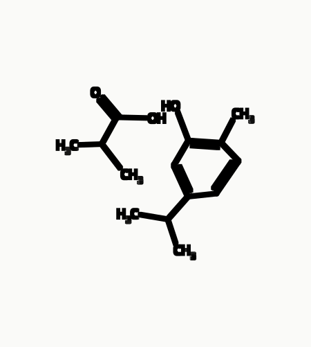 CC(C)C(=O)O.Cc1ccc(C(C)C)cc1O